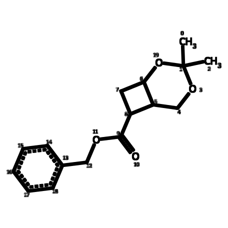 CC1(C)OCC2C(CC2C(=O)OCc2ccccc2)O1